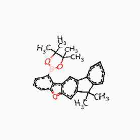 CC1(C)c2ccccc2-c2cc3c(cc21)oc1cccc(B2OC(C)(C)C(C)(C)O2)c13